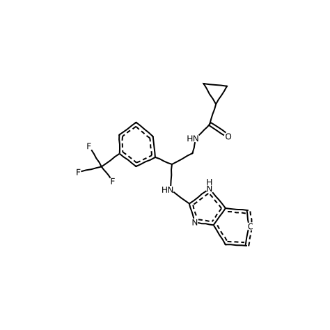 O=C(NCC(Nc1nc2ccccc2[nH]1)c1cccc(C(F)(F)F)c1)C1CC1